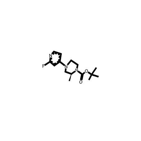 C[C@H]1CN(c2ccnc(F)c2)CCN1C(=O)OC(C)(C)C